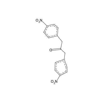 O=C(Cc1ccc([N+](=O)[O-])cc1)Cc1ccc([N+](=O)[O-])cc1